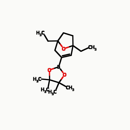 CCC12C=C(B3OC(C)(C)C(C)(C)O3)CC(CC)(CC1)O2